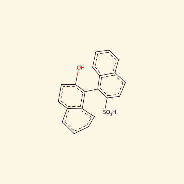 O=S(=O)(O)c1ccc2ccccc2c1-c1c(O)ccc2ccccc12